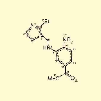 CCn1nccc1CNc1cc(C(=O)OC)ccc1[N+](=O)[O-]